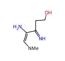 CN/C=C(/N)C(=N)CCO